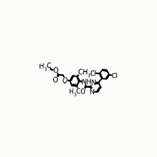 CCOC(=O)COc1cc(C)c(NC(=O)c2nccc(-c3cc(Cl)ccc3Cl)n2)c(C)c1